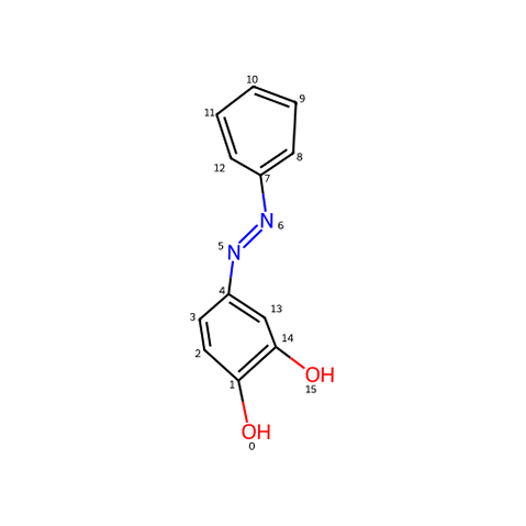 Oc1ccc(N=Nc2ccccc2)cc1O